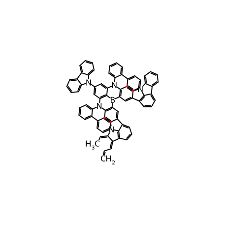 C=C/C=c1\c(=C/C)n2c3cc4c(cc3c3cccc1c32)B1c2cc3c5cccc6c7ccccc7n(c3cc2N(c2ccccc2-c2ccccc2)c2cc(-n3c7ccccc7c7ccccc73)cc(c21)N4c1ccccc1-c1ccccc1)c65